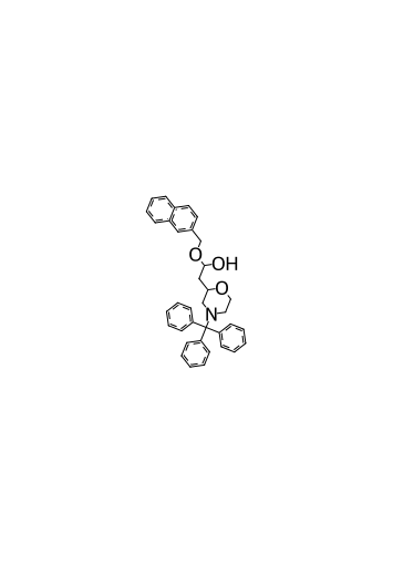 OC(CC1CN(C(c2ccccc2)(c2ccccc2)c2ccccc2)CCO1)OCc1ccc2ccccc2c1